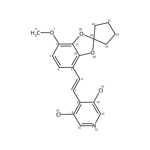 COc1ccc(/C=C/c2c(Cl)cncc2Cl)c2c1OC1(CCCC1)O2